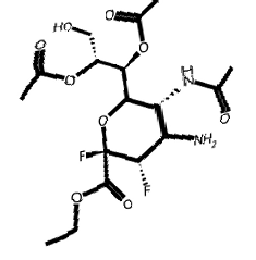 CCOC(=O)[C@]1(F)OC([C@H](OC(C)=O)[C@@H](CO)OC(C)=O)[C@H](NC(C)=O)C(N)[C@@H]1F